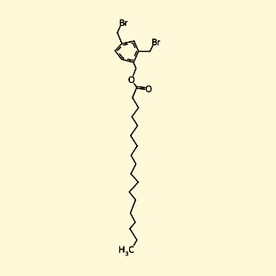 CCCCCCCCCCCCCCCCCC(=O)OCc1ccc(CBr)cc1CBr